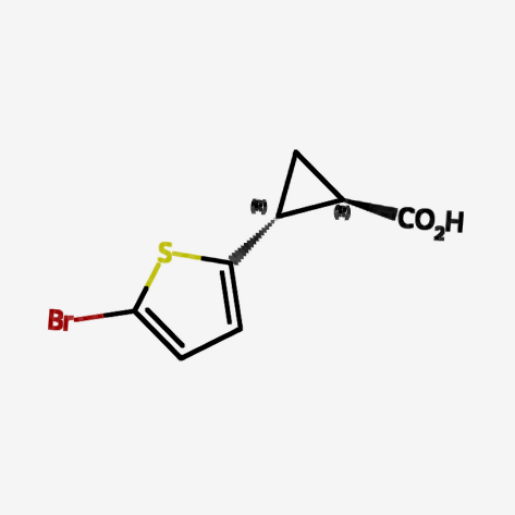 O=C(O)[C@@H]1C[C@H]1c1ccc(Br)s1